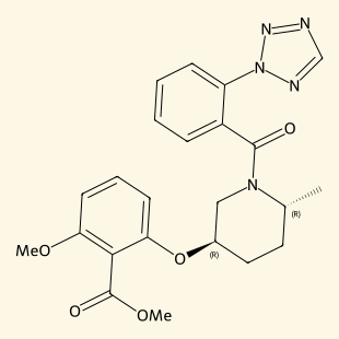 COC(=O)c1c(OC)cccc1O[C@@H]1CC[C@@H](C)N(C(=O)c2ccccc2-n2ncnn2)C1